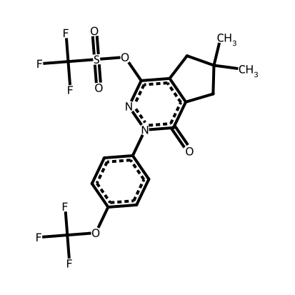 CC1(C)Cc2c(OS(=O)(=O)C(F)(F)F)nn(-c3ccc(OC(F)(F)F)cc3)c(=O)c2C1